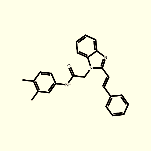 Cc1ccc(NC(=O)Cn2c(C=Cc3ccccc3)nc3ccccc32)cc1C